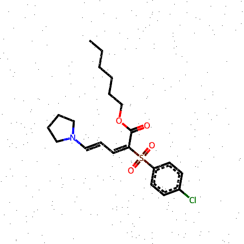 CCCCCCOC(=O)/C(=C\C=C\N1CCCC1)S(=O)(=O)c1ccc(Cl)cc1